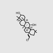 CC1(C)CC[C@]2(C=CCl)CC[C@]3(C)[C@H]([C@H](O)C[C@@H]4[C@@]5(C)CC[C@H](O)C(C)(C)[C@@H]5CC[C@]43C)[C@@H]2C1